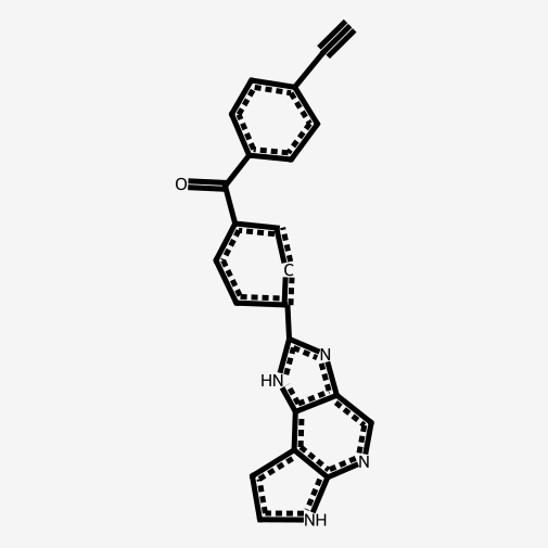 C#Cc1ccc(C(=O)c2ccc(-c3nc4cnc5[nH]ccc5c4[nH]3)cc2)cc1